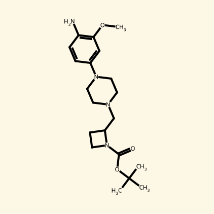 COc1cc(N2CCN(CC3CCN3C(=O)OC(C)(C)C)CC2)ccc1N